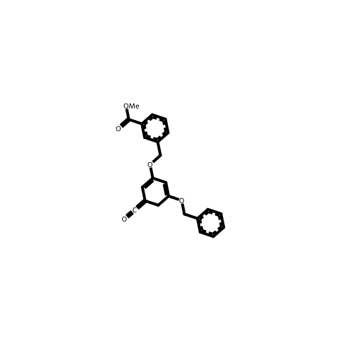 COC(=O)c1cccc(COC2=CC(=C=O)CC(OCc3ccccc3)=C2)c1